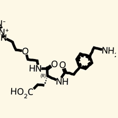 [N-]=[N+]=NCCOCCNC(=O)[C@@H](CCC(=O)O)NC(=O)Cc1ccc(CN)cc1